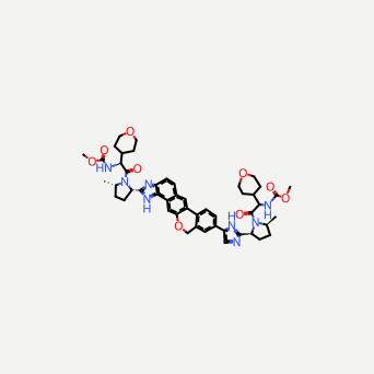 COC(=O)NC(C(=O)N1[C@@H](C)CC[C@H]1c1ncc(-c2ccc3c(c2)COc2cc4c(ccc5nc([C@@H]6CC[C@H](C)N6C(=O)[C@@H](NC(=O)OC)C6CCOCC6)[nH]c54)cc2-3)[nH]1)C1CCOCC1